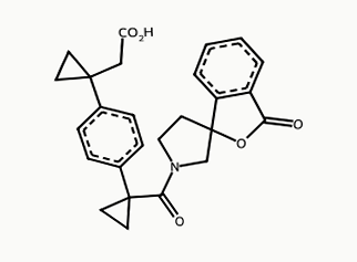 O=C(O)CC1(c2ccc(C3(C(=O)N4CCC5(C4)OC(=O)c4ccccc45)CC3)cc2)CC1